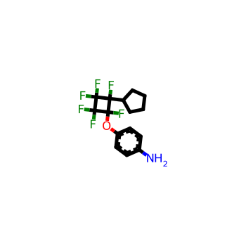 Nc1ccc(OC2(F)C(F)(F)C(F)(F)C2(F)C2CCCC2)cc1